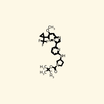 COc1cc2ncc(-c3cccc(NC4CCN(C(=O)OC(C)(C)C)C4)n3)n2nc1C1(C(F)(F)F)CC1